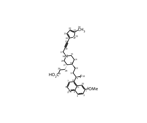 COc1ccc2nccc([C@H](F)CC[C@@H]3CCN(CC#Cc4ccc(C)s4)C[C@H]3CCC(=O)O)c2c1